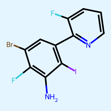 Nc1c(F)c(Br)cc(-c2ncccc2F)c1I